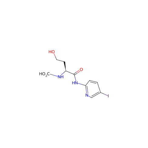 O=C(O)N[C@@H](CCO)C(=O)Nc1ccc(I)cn1